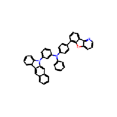 c1ccc(N(c2ccc(-c3cccc4c3oc3cccnc34)cc2)c2cccc(-n3c4ccccc4c4cc5ccccc5cc43)c2)cc1